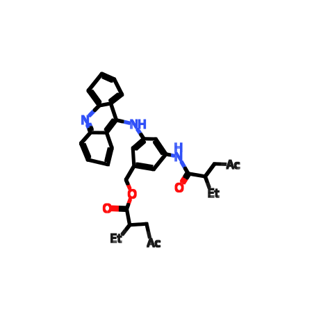 CCC(CC(C)=O)C(=O)Nc1cc(COC(=O)C(CC)CC(C)=O)cc(Nc2c3ccccc3nc3ccccc23)c1